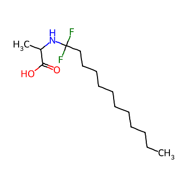 CCCCCCCCCCCC(F)(F)NC(C)C(=O)O